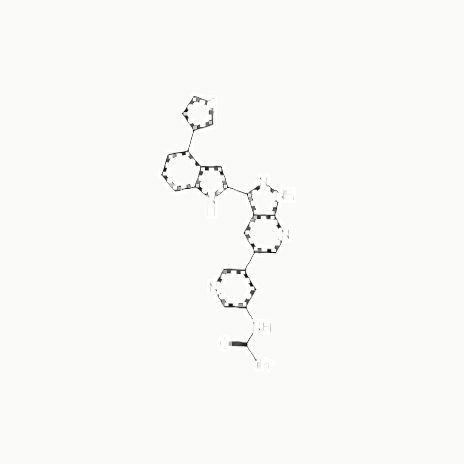 CC(C)C(=O)Nc1cncc(-c2cnc3[nH]nc(-c4cc5c(-c6ccsc6)cccc5[nH]4)c3c2)c1